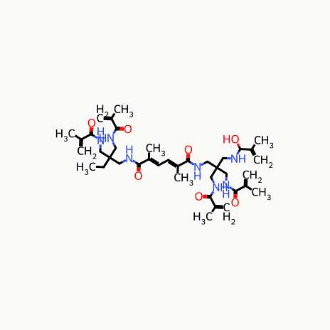 C=C(C)C(=O)NCC(CC)(CNC(=O)C(=C)C)CNC(=O)/C(C)=C/C=C(\C)C(=O)NCC(CNC(=O)C(=C)C)(CNC(=O)C(=C)C)CNC(O)C(=C)C